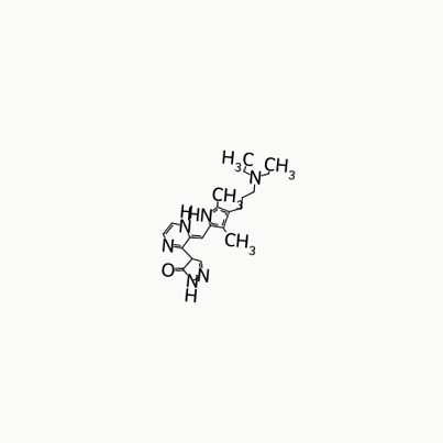 CCN(CC)CCCc1c(C)[nH]c(C=C2NC=CN=C2C2C=NNC2=O)c1C